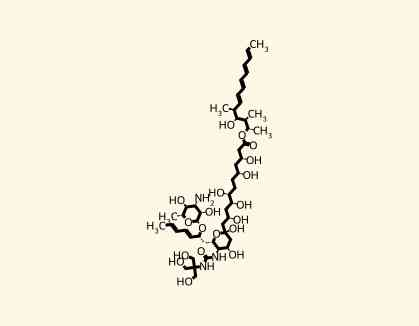 C/C=C/C=C/C=C/C=C/[C@H](C)[C@@H](O)[C@@H](C)[C@H](C)OC(=O)C[C@H](O)C[C@H](O)CC[C@@H](O)[C@H](O)C[C@H](O)C[C@]1(O)C[C@H](O)[C@@H](NC(=O)NC(CO)(CO)CO)[C@H](C[C@H](/C=C/C=C/C)O[C@@H]2O[C@H](C)[C@@H](O)[C@H](N)[C@@H]2O)O1